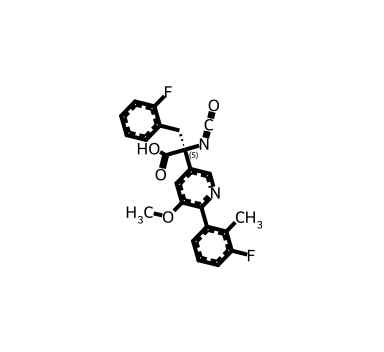 COc1cc([C@](Cc2ccccc2F)(N=C=O)C(=O)O)cnc1-c1cccc(F)c1C